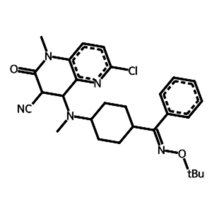 CN1C(=O)C(C#N)C(N(C)C2CCC(/C(=N/OC(C)(C)C)c3ccccc3)CC2)c2nc(Cl)ccc21